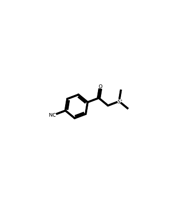 C[S+](C)CC(=O)c1ccc(C#N)cc1